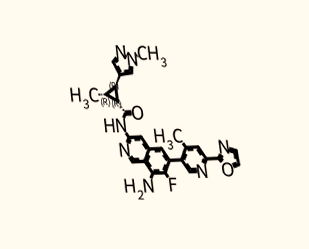 Cc1cc(-c2ncco2)ncc1-c1cc2cc(NC(=O)[C@@H]3[C@H](C)[C@H]3c3cnn(C)c3)ncc2c(N)c1F